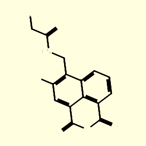 O=C(CCl)NCc1c(O)cc2c3c(cccc13)C(=O)OC2=O